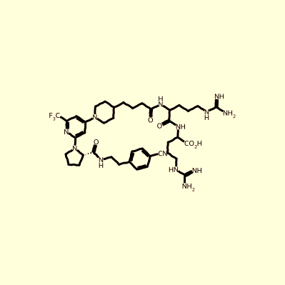 N#Cc1ccc(CCNC(=O)[C@@H]2CCCN2c2cc(N3CCC(CCCC(=O)NC(CCCNC(=N)N)C(=O)NC(CCCNC(=N)N)C(=O)O)CC3)cc(C(F)(F)F)n2)cc1